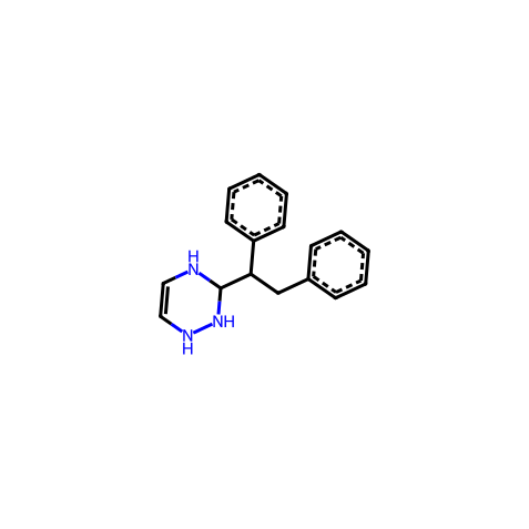 C1=CNC(C(Cc2ccccc2)c2ccccc2)NN1